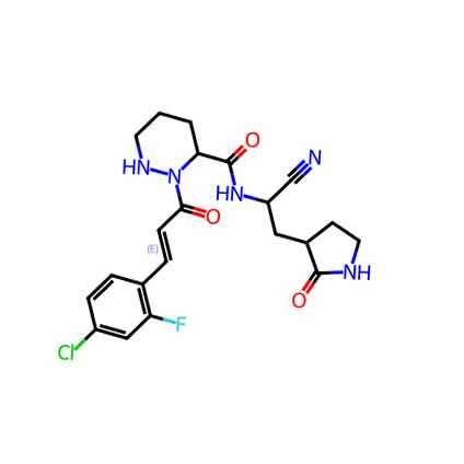 N#CC(CC1CCNC1=O)NC(=O)C1CCCNN1C(=O)/C=C/c1ccc(Cl)cc1F